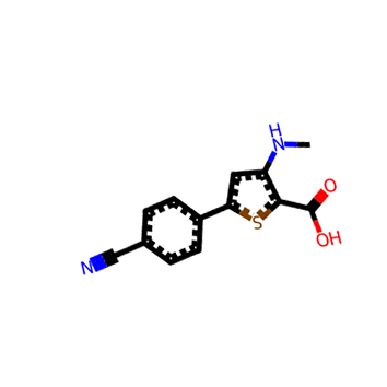 CNc1cc(-c2ccc(C#N)cc2)sc1C(=O)O